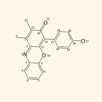 Cc1c2nc3ccccc3oc-2c(-c2ccc(Cl)cc2)c(=O)c1C